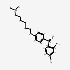 CN(C)CCCCCCOc1ccc(C(=O)c2ccc(Cl)cc2Cl)cc1